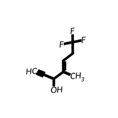 C#CC(O)C(C)=CCC(F)(F)F